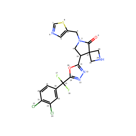 O=C1N(Cc2cncs2)CC(c2nnc(C(F)(F)c3ccc(Cl)c(Cl)c3)o2)C12CNC2